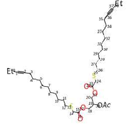 CCC#CCCCCCCCCCCSCC(=O)OCC(COC(=O)CSCCCCCCCCCCC#CCC)OC(C)=O